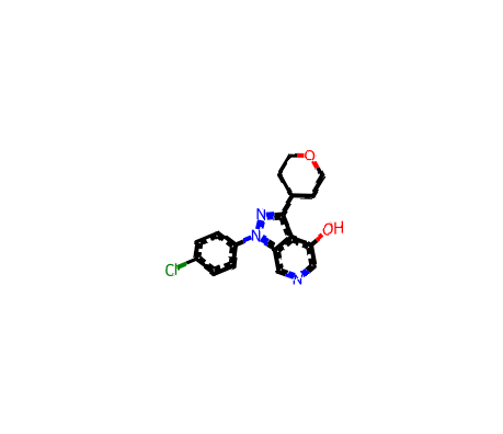 Oc1cncc2c1c(C1CCOCC1)nn2-c1ccc(Cl)cc1